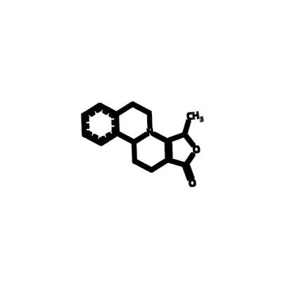 CC1OC(=O)C2=C1N1CCc3ccccc3C1CC2